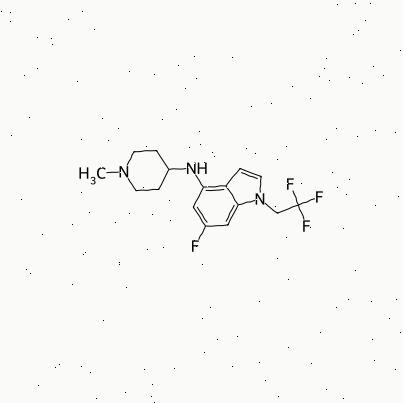 CN1CCC(Nc2cc(F)cc3c2ccn3CC(F)(F)F)CC1